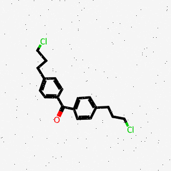 O=C(c1ccc(CCCCl)cc1)c1ccc(CCCCl)cc1